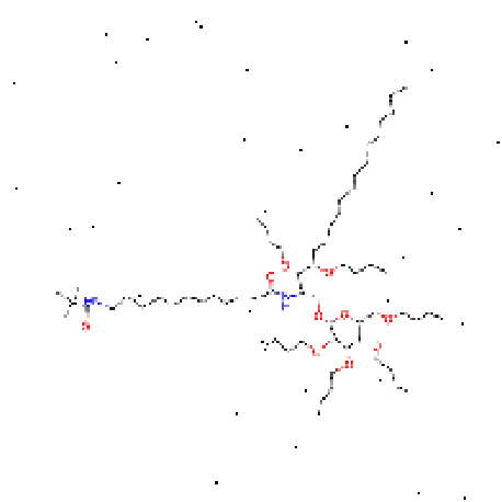 CCCCCCCCCCCCCC[C@@H](OCCCC)[C@@H](OCCCC)[C@H](CO[C@H]1OC(COCCCC)[C@H](OCCCC)[C@H](OCCCC)C1OCCCC)NC(=O)CCCCCCCCCCCNC(=O)C(C)(C)C